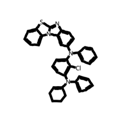 Clc1c(N(C2=CCCCC2)c2ccccc2)cccc1N(c1ccccc1)c1ccc2nc3sc4ccccc4n3c2c1